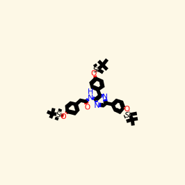 CC(C)(C)[Si](C)(C)Oc1ccc(CC(=O)Nc2ncc(-c3ccc(O[Si](C)(C)C(C)(C)C)cc3)nc2-c2ccc(O[Si](C)(C)C(C)(C)C)cc2)cc1